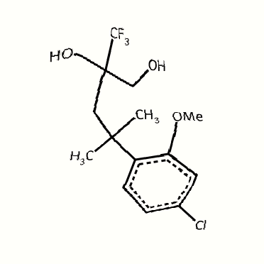 COc1cc(Cl)ccc1C(C)(C)CC(O)(CO)C(F)(F)F